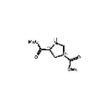 COC(=O)[C@@H]1CN[C@H](C(=O)OC)C1